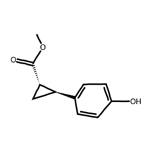 COC(=O)[C@H]1C[C@@H]1c1ccc(O)cc1